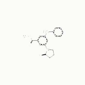 COC(=O)c1cc(Nc2ccccc2)cc(N2CCCC2=O)c1